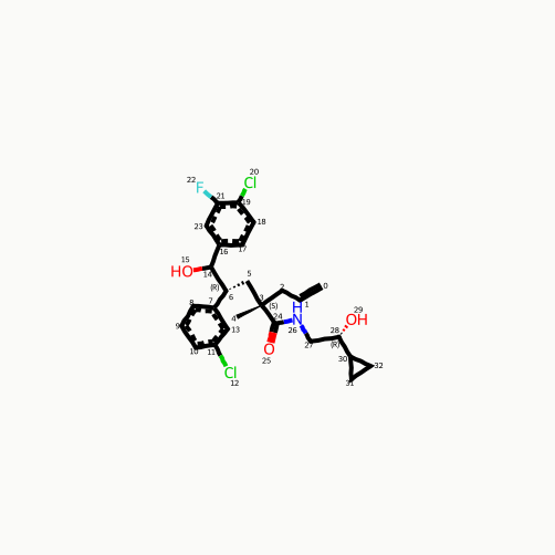 C=CC[C@@](C)(C[C@H](c1cccc(Cl)c1)C(O)c1ccc(Cl)c(F)c1)C(=O)NC[C@H](O)C1CC1